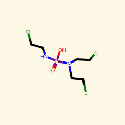 O=P(O)(NCCCl)N(CCCl)CCCl